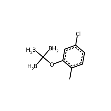 BC(B)(B)Oc1cc(Cl)ccc1C